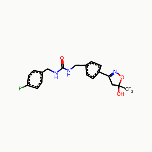 O=C(NCc1ccc(F)cc1)NCc1ccc(C2=NOC(O)(C(F)(F)F)C2)cc1